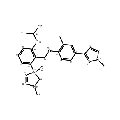 Cc1cc(-c2ccn(C)n2)ccc1OCc1c(OC(F)F)cccc1[N+]1([O-])CN(C)N=N1